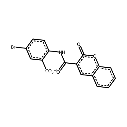 O=C(O)c1cc(Br)ccc1NC(=O)c1cc2ccccc2oc1=O